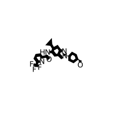 O=C[C@H]1CC[C@H](n2cc3cc(NC(=O)c4cccc(C(F)(F)F)n4)c(C4CC4)cc3n2)CC1